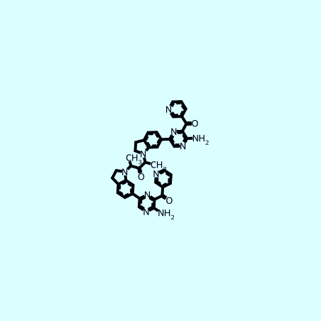 CC(C(=O)C(C)N1CCc2ccc(-c3cnc(N)c(C(=O)c4cccnc4)n3)cc21)N1CCc2ccc(-c3cnc(N)c(C(=O)c4cccnc4)n3)cc21